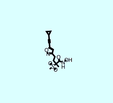 CC(CCc1cc(C#CC2CC2)on1)(C(=O)NO)S(C)(=O)=O